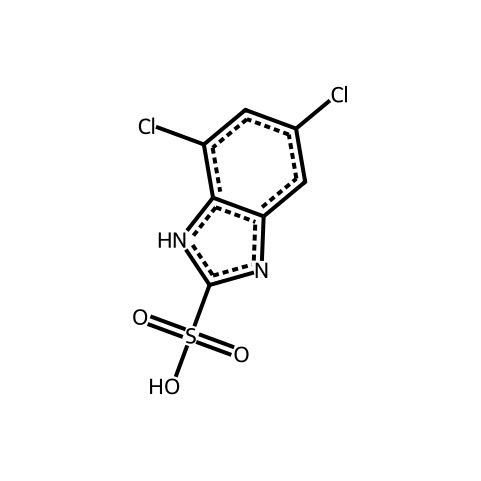 O=S(=O)(O)c1nc2cc(Cl)cc(Cl)c2[nH]1